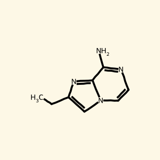 CCc1cn2ccnc(N)c2n1